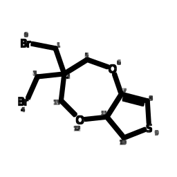 BrCC1(CBr)COC2=CSCC2OC1